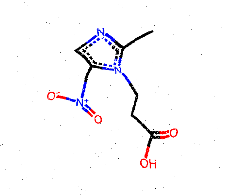 Cc1ncc([N+](=O)[O-])n1CCC(=O)O